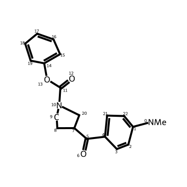 CNc1ccc(C(=O)C2CCN(C(=O)Oc3ccccc3)C2)cc1